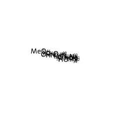 COC(=O)c1ccc(CNC(=O)Cc2cccc(CC(C)NC[C@H](O)c3ccc(-n4c(C)ccc4C)nc3)c2)cc1